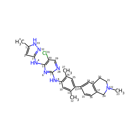 Cc1cc(Nc2nc(Nc3cc(C)c(-c4ccc5c(c4)CCN(C)C5)cc3C)ncc2Cl)n[nH]1